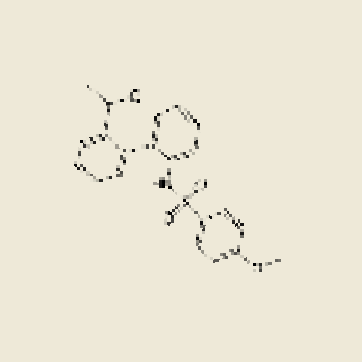 COc1ccc(S(=O)(=O)Nc2ccccc2-c2ccccc2C(C)O)cc1